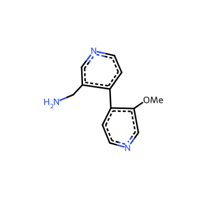 COc1cnccc1-c1ccncc1CN